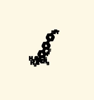 CCCc1ccc(-c2ccc(-c3ccc([Si](C)(C)C)c(F)c3F)c(F)c2)cc1